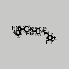 O=C(/C=C/c1cc(F)c(F)c(F)c1)N1CCC(C(O)CN2CCC(c3c[nH]c4ncccc34)CC2)CC1